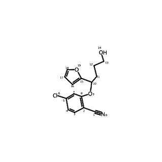 N#Cc1ccc(Cl)cc1OC(CCCO)c1ccco1